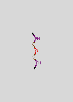 CPSOSPC